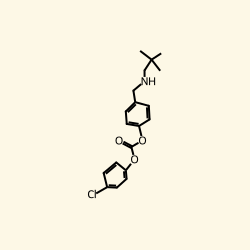 CC(C)(C)CNCc1ccc(OC(=O)Oc2ccc(Cl)cc2)cc1